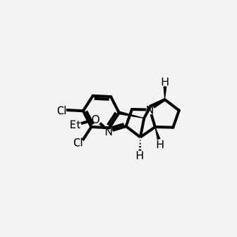 CCO/N=C1\CN2[C@H]3CC[C@@H]2[C@@H]1[C@@H](c1ccc(Cl)c(Cl)c1)C3